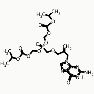 C=C(COCP(=O)(OCOC(=O)OC(C)C)OCOC(=O)OC(C)C)Cn1cnc2c(=O)[nH]c(N)nc21